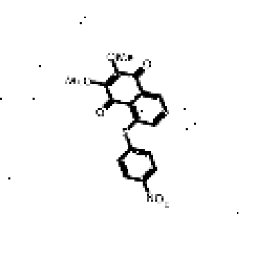 COC1=C(OC)C(=O)c2c(Sc3ccc([N+](=O)[O-])cc3)cccc2C1=O